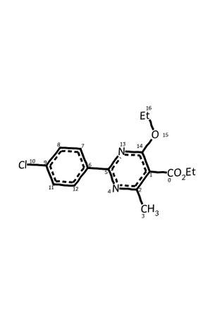 CCOC(=O)c1c(C)nc(-c2ccc(Cl)cc2)nc1OCC